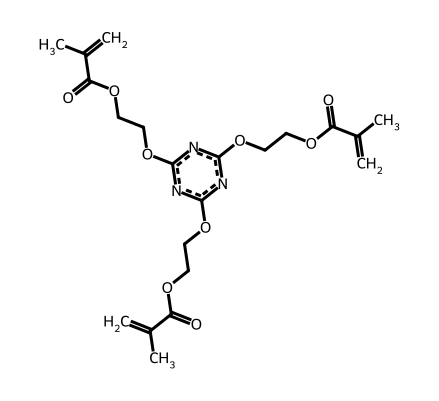 C=C(C)C(=O)OCCOc1nc(OCCOC(=O)C(=C)C)nc(OCCOC(=O)C(=C)C)n1